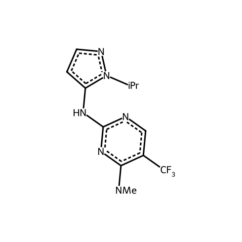 CNc1nc(Nc2ccnn2C(C)C)ncc1C(F)(F)F